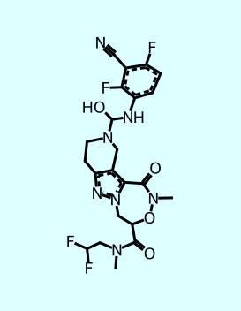 CN(CC(F)F)C(=O)C1Cn2nc3c(c2C(=O)N(C)O1)CN(C(O)Nc1ccc(F)c(C#N)c1F)CC3